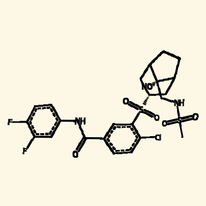 CS(=O)(=O)NC[C@]1(O)C2CCC1C[C@@H](S(=O)(=O)c1cc(C(=O)Nc3ccc(F)c(F)c3)ccc1Cl)C2